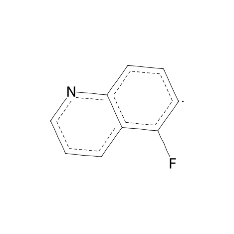 Fc1[c]ccc2ncccc12